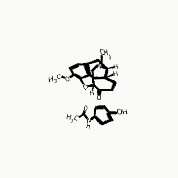 CC(=O)Nc1ccc(O)cc1.COc1ccc2c3c1O[C@H]1C(=O)CC[C@H]4[C@@H](C2)N(C)CC[C@]314